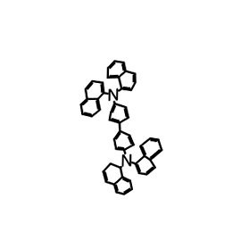 C1=Cc2ccccc2C(N(c2ccc(-c3ccc(N(c4cccc5ccccc45)c4cccc5ccccc45)cc3)cc2)c2cccc3ccccc23)C1